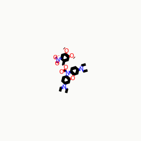 CCN(CC)c1ccc2c(c1)Oc1cc(N(CC)CC)ccc1N2C(=O)OCc1cc(OC)c(OC)cc1[N+](=O)[O-]